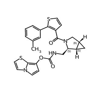 Cc1cccc(-c2sccc2C(=O)N2C[C@@H]3C[C@@H]3[C@H]2CNC(=O)Oc2ccn3ccsc23)c1